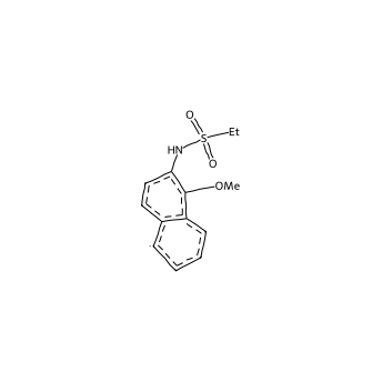 CCS(=O)(=O)Nc1ccc2[c]cccc2c1OC